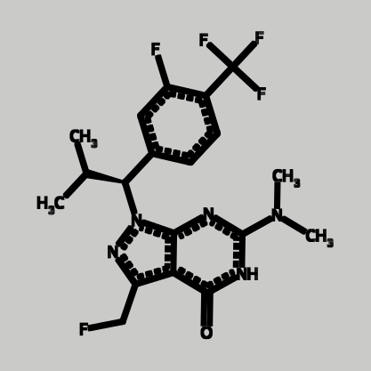 CC(C)[C@@H](c1ccc(C(F)(F)F)c(F)c1)n1nc(CF)c2c(=O)[nH]c(N(C)C)nc21